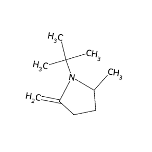 C=C1CCC(C)N1C(C)(C)C